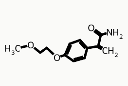 C=C(C(N)=O)c1ccc(OCCOC)cc1